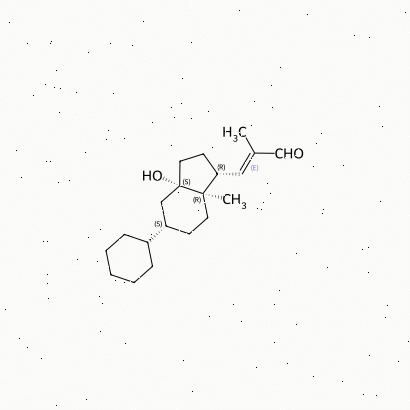 C/C(C=O)=C\[C@H]1CC[C@]2(O)C[C@@H](C3CCCCC3)CC[C@]12C